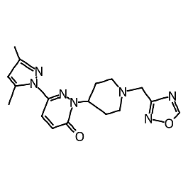 Cc1cc(C)n(-c2ccc(=O)n(C3CCN(Cc4ncon4)CC3)n2)n1